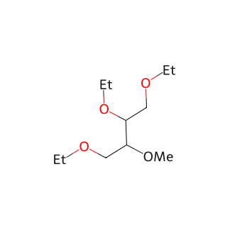 CCOCC(OC)C(COCC)OCC